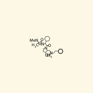 CCN(CCc1ccccc1)CC1C(C)CCN1C(=O)C(NC(=O)C(C)NC)C1CCCCC1